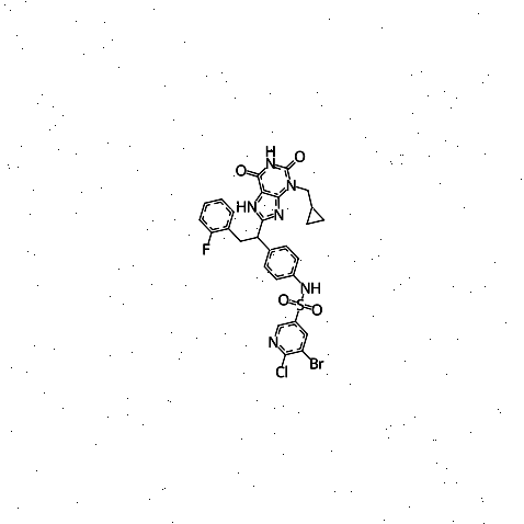 O=c1[nH]c(=O)n(CC2CC2)c2nc(C(Cc3ccccc3F)c3ccc(NS(=O)(=O)c4cnc(Cl)c(Br)c4)cc3)[nH]c12